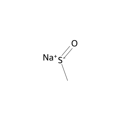 C[S-]=O.[Na+]